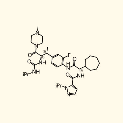 CC(C)NC(=O)N[C@@H](C(=O)N1CCN(C)CC1)[C@@H](C)c1ccc(NC(=O)[C@@H](NC(=O)c2ccnn2C(C)C)C2CCCCCC2)c(F)c1